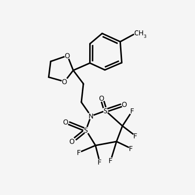 Cc1ccc(C2(CCN3S(=O)(=O)C(F)(F)C(F)(F)C(F)(F)S3(=O)=O)OCCO2)cc1